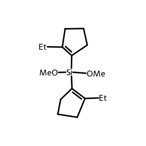 CCC1=C([Si](OC)(OC)C2=C(CC)CCC2)CCC1